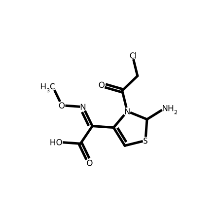 CO/N=C(\C(=O)O)C1=CSC(N)N1C(=O)CCl